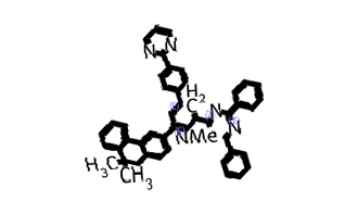 C=C(/C=C(\C=C\c1ccc(-c2ncccn2)cc1)c1ccc2c(c1)-c1ccccc1C(C)(C)C2)/C(=N/C(=N\Cc1ccccc1)c1ccccc1)NC